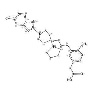 Cc1ccc(CC(=O)O)cc1OCCC1(N2CCCC2)CCN(c2nc3ccc(Cl)cc3s2)CC1